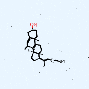 CC(C)CCC[C@@H](C)[C@H]1CC[C@H]2C3=C(CC[C@]12C)[C@@]1(C)CC[C@H](O)CC1=CC3C